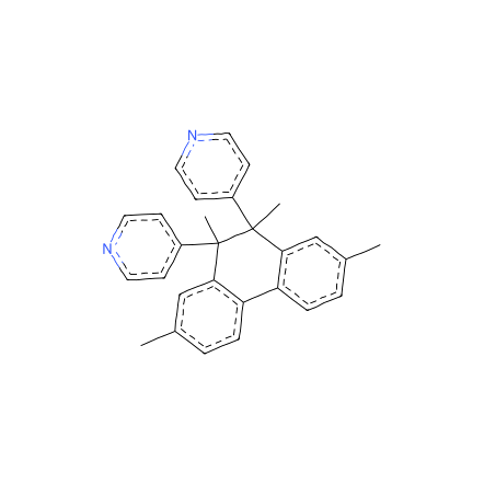 Cc1ccc2c(c1)C(C)(c1ccncc1)C(C)(c1ccncc1)c1cc(C)ccc1-2